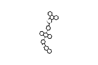 C=c1/c(=C\c2c(C)oc3cc(-c4c5ccccc5c(-c5ccc6oc7cc8ccccc8cc7c6c5)c5ccccc45)ccc23)c2ccccc2c2ccccc12